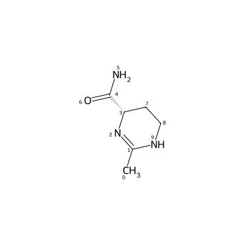 CC1=N[C@H](C(N)=O)CCN1